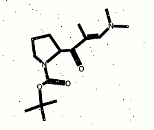 C/C(=C\N(C)C)C(=O)C1CCCN1C(=O)OC(C)(C)C